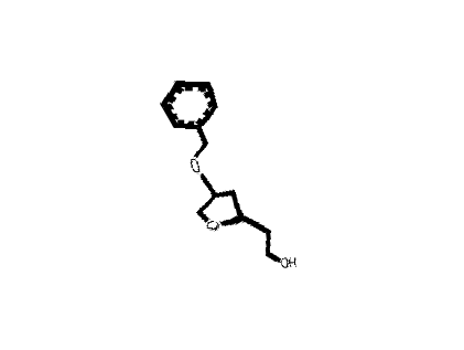 OCCC1CC(OCc2ccccc2)CO1